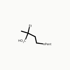 CCCCCCCC(C)(CC)C(=O)O